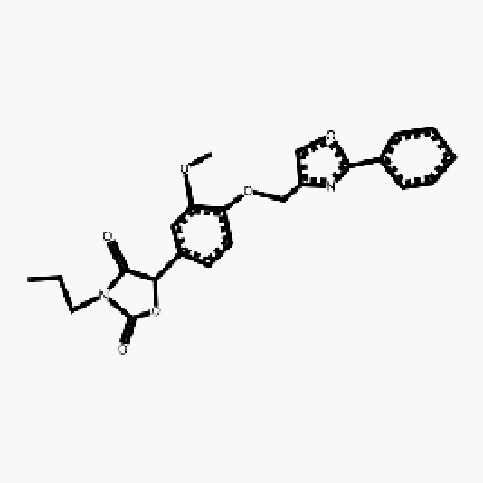 CCCN1C(=O)OC(c2ccc(OCc3coc(-c4ccccc4)n3)c(OC)c2)C1=O